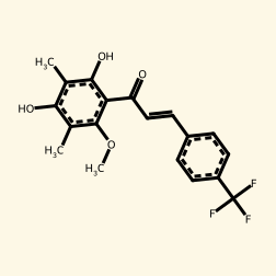 COc1c(C)c(O)c(C)c(O)c1C(=O)/C=C/c1ccc(C(F)(F)F)cc1